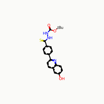 CC(C)(C)OC(=O)NNC(=S)c1ccc(-c2ccc3cc(O)ccc3n2)cc1